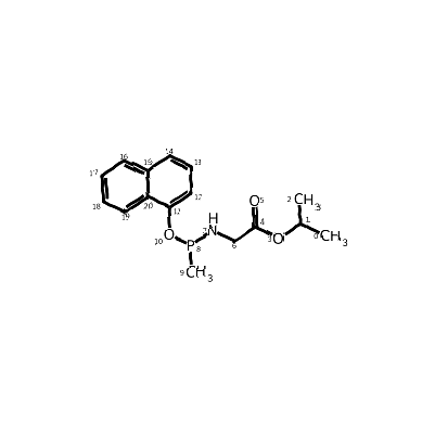 CC(C)OC(=O)CNP(C)Oc1cccc2ccccc12